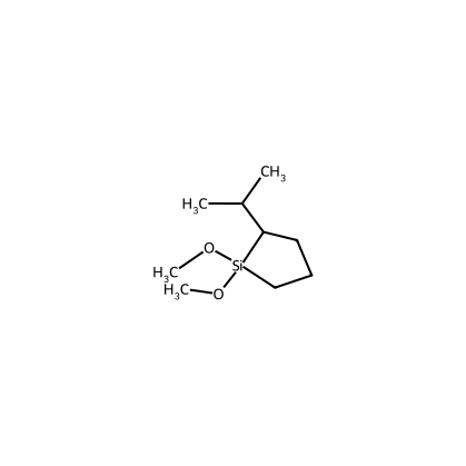 CO[Si]1(OC)CCCC1C(C)C